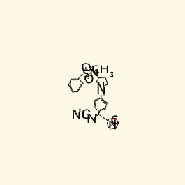 CN(C1CCN(c2ccc(C(=NC#N)N3CC4CCC(CC4)C3)cc2)C1)S(=O)(=O)Cc1ccccc1